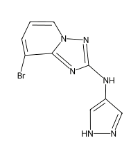 Brc1cccn2nc(Nc3cn[nH]c3)nc12